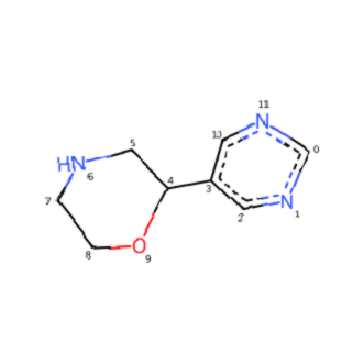 c1ncc(C2CNCCO2)cn1